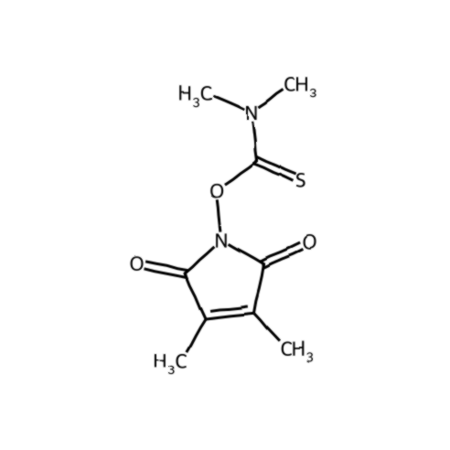 CC1=C(C)C(=O)N(OC(=S)N(C)C)C1=O